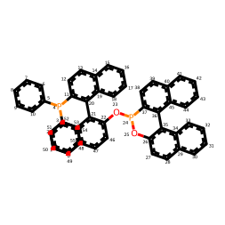 c1ccc(P(c2ccccc2)c2ccc3ccccc3c2-c2c(OP3Oc4ccc5ccccc5c4-c4c3ccc3ccccc43)ccc3ccccc23)cc1